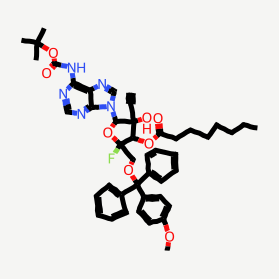 C#CC1(O)C(n2cnc3c(NC(=O)OC(C)(C)C)ncnc32)OC(F)(COC(c2ccccc2)(c2ccccc2)c2ccc(OC)cc2)C1OC(=O)CCCCCCC